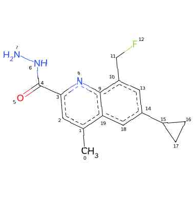 Cc1cc(C(=O)NN)nc2c(CF)cc(C3CC3)cc12